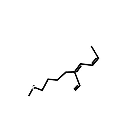 C=C/C(=C\C=C/C)CCCCSC